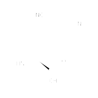 CC(Oc1cncc(C#N)c1)[C@@H]1CCN1